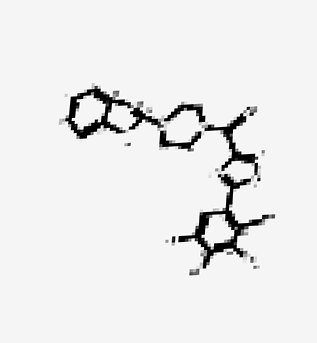 O=C(c1noc(-c2cc(F)c(F)c(O)c2F)n1)N1CCN(c2nc3ccccc3o2)CC1